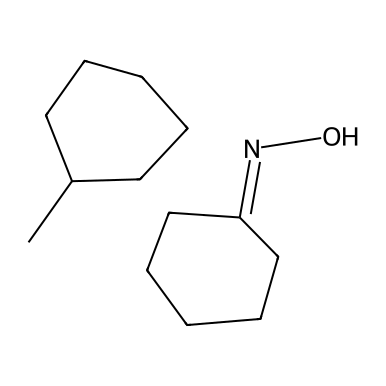 CC1CCCCC1.ON=C1CCCCC1